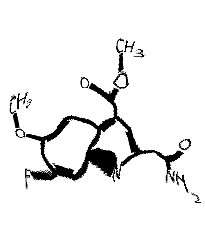 COC(=O)c1cc(C(N)=O)nc2cc(F)c(OC)cc12